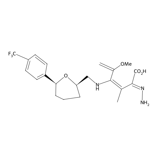 C=C(OC)/C(NC[C@H]1CCC[C@@H](c2ccc(C(F)(F)F)cc2)O1)=C(C)\C(=N/N)C(=O)O